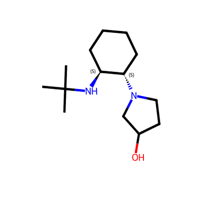 CC(C)(C)N[C@H]1CCCC[C@@H]1N1CCC(O)C1